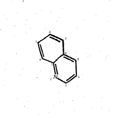 [c]1cnc2c[c]ccc2c1